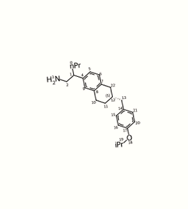 CCCC(CN)c1ccc2c(c1)CC[C@@H](Cc1ccc(OC(C)C)cc1)C2